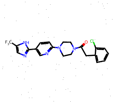 O=C(Cc1ccccc1Cl)N1CCN(c2ccc(-c3ncc(C(F)(F)F)[nH]3)cn2)CC1